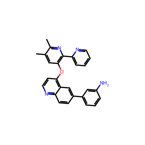 Cc1cc(Oc2ccnc3ccc(-c4cccc(N)c4)cc23)c(-c2ccccn2)nc1C